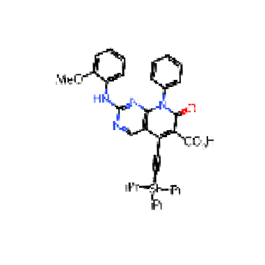 COc1ccccc1Nc1ncc2c(C#C[Si](C(C)C)(C(C)C)C(C)C)c(C(=O)O)c(=O)n(-c3ccccc3)c2n1